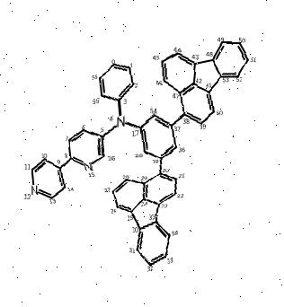 c1ccc(N(c2ccc(-c3ccncc3)nc2)c2cc(-c3ccc4c5c(cccc35)-c3ccccc3-4)cc(-c3ccc4c5c(cccc35)-c3ccccc3-4)c2)cc1